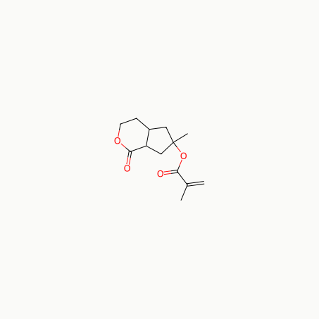 C=C(C)C(=O)OC1(C)CC2CCOC(=O)C2C1